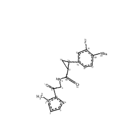 Cn1ccnc1C(=O)CNC(=O)C1CC1c1ccc(C(C)(C)C)c(F)c1